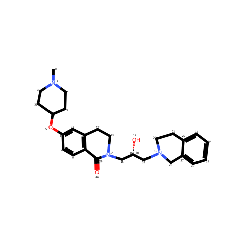 CN1CCC(Oc2ccc3c(c2)CCN(C[C@H](O)CN2CCc4ccccc4C2)C3=O)CC1